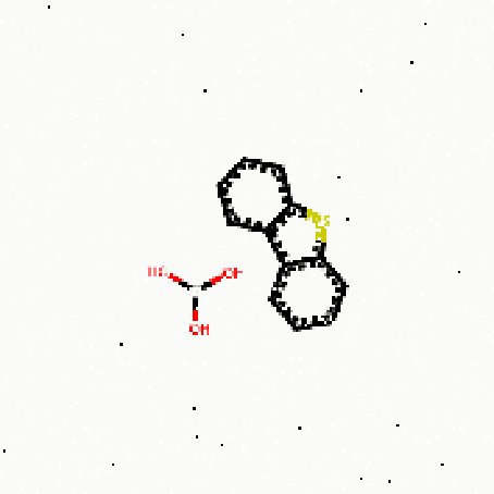 OB(O)O.c1ccc2c(c1)sc1ccccc12